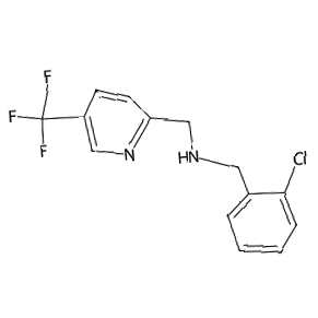 FC(F)(F)c1ccc(CNCc2ccccc2Cl)nc1